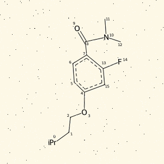 CC(C)CCOc1ccc(C(=O)N(C)C)c(F)c1